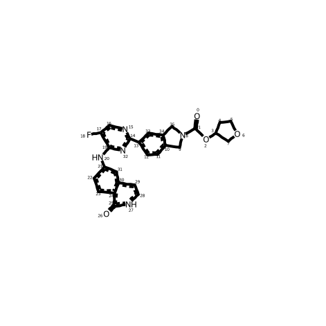 O=C(OC1CCOC1)N1Cc2ccc(-c3ncc(F)c(Nc4ccc5c(=O)[nH]ccc5c4)n3)cc2C1